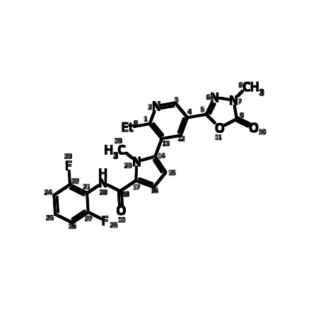 CCc1ncc(-c2nn(C)c(=O)o2)cc1-c1ccc(C(=O)Nc2c(F)cccc2F)n1C